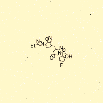 CCc1cn(-c2ccc(CC3CC4(COC4)CN4C3=NOC4(CO)c3ccc(F)cc3)c3cnoc23)cn1